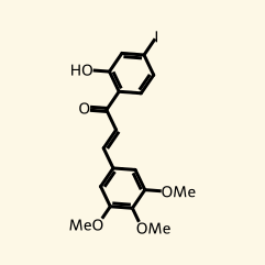 COc1cc(C=CC(=O)c2ccc(I)cc2O)cc(OC)c1OC